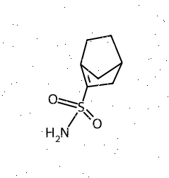 NS(=O)(=O)C1=C2CCC(C2)C1